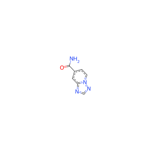 NC(=O)c1ccn2ncnc2c1